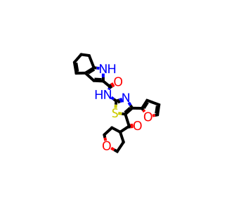 O=C(Nc1nc(-c2ccco2)c(C(=O)C2CCOCC2)s1)c1cc2c([nH]1)CCC=C2